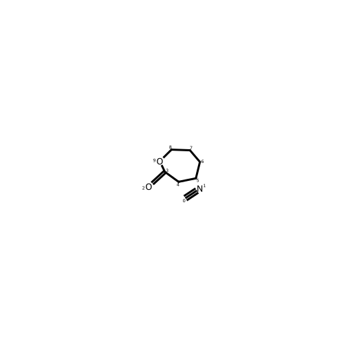 C#N.O=C1CCCCCO1